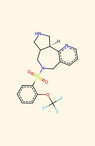 O=S(=O)(c1ccccc1OC(F)(F)F)N1Cc2cccnc2[C@@H]2CNCC2C1